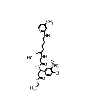 CCOC(=O)CC(NC(=O)CNC(=O)CCCCNc1cc(C)ccn1)c1ccc(Cl)c([N+](=O)[O-])c1.Cl